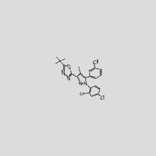 Cc1c(-c2nnc(C(C)(C)C)o2)nn(-c2ccc(Cl)cc2Cl)c1-c1cccc(Cl)c1